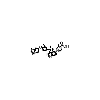 Cc1cc(Nc2ncnc3ccc(N4CCN(C(=O)O)C(C)C4)c(F)c23)ccc1Oc1ccn2ncnc2c1